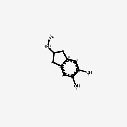 CCCNC1Cc2cc(O)c(O)cc2C1